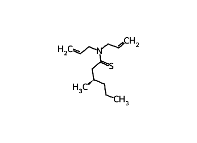 C=CCN(CC=C)C(=S)C[C@H](C)CCC